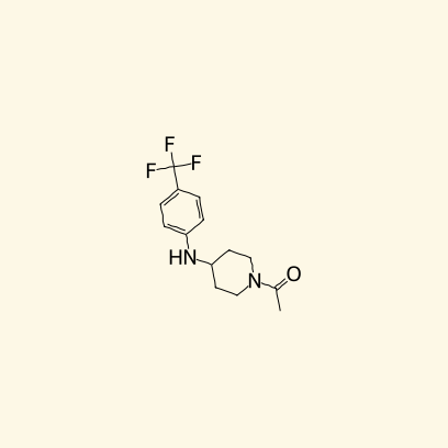 CC(=O)N1CCC(Nc2ccc(C(F)(F)F)cc2)CC1